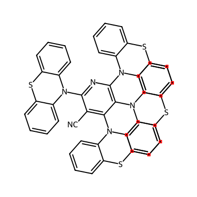 N#Cc1c(N2c3ccccc3Sc3ccccc32)nc(N2c3ccccc3Sc3ccccc32)c(N2c3ccccc3Sc3ccccc32)c1N1c2ccccc2Sc2ccccc21